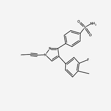 CC#Cn1cc(-c2ccc(C)c(F)c2)c(-c2ccc(S(N)(=O)=O)cc2)n1